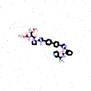 COC(=O)N[C@H](C(=O)N1CCC[C@H]1c1ncc(-c2ccc(-c3ccc(-c4cnc([C@H]5C6CCC(C6)[C@@H]5C(=O)NC(C)c5cccnc5)[nH]4)cc3)cc2)[nH]1)C(C)OC